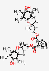 Cc1c(C)c2c(c(C)c1O)CCC(C)(CCOC(=O)C1C3C=CC(C3)C1C(=O)OCCC1(C)CCc3c(C)c(O)c(C)c(C)c3O1)O2